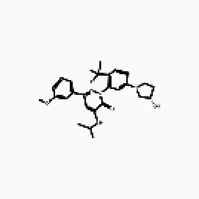 COc1cccc(-c2cc(NC(C)C)c(=O)n(-c3cc(N4CC[C@H](O)C4)ccc3C(F)(F)F)n2)c1